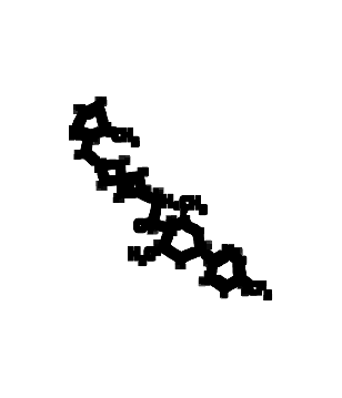 C[C@@H]1CN(c2ncc(C(F)(F)F)cn2)C[C@H](C)N1C(=O)NC1CC2(C1)CN(Cc1nccn1C)C2